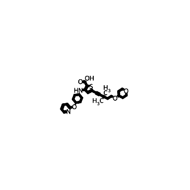 CC(C)(C#Cc1cc(N[C@H]2CC[C@H](Oc3ccccn3)CC2)c(C(=O)O)s1)CCOC1CCOCC1